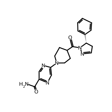 NC(=O)c1cnc(N2CCC(C(=O)N3N=CC[C@H]3c3ccccc3)CC2)cn1